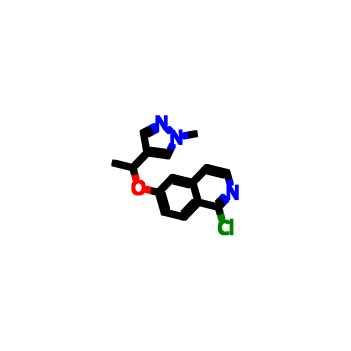 CC(Oc1ccc2c(Cl)nccc2c1)c1cnn(C)c1